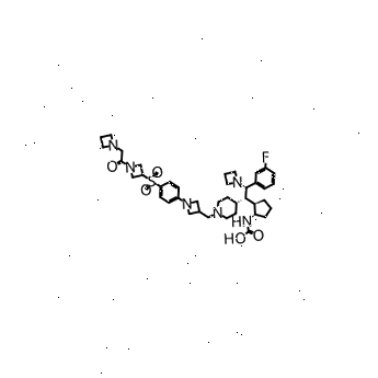 O=C(O)N[C@H]1CCC[C@@H]1[C@H](C1CCN(CC2CN(c3ccc(S(=O)(=O)C4CN(C(=O)CN5CCC5)C4)cc3)C2)CC1)[C@@H](c1cccc(F)c1)N1CCC1